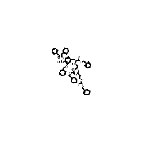 O=C(NCCCC[C@@H](CN[C@@H](Cc1ccc(OP(=O)(OCc2ccccc2)OCc2ccccc2)c(OCc2ccccc2)c1)C(=O)OCc1ccccc1)NC(=O)OCc1ccccc1)OCc1ccccc1